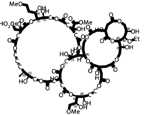 CCO[C@H]1[C@@H]2OC(=O)C(O)(CC(=O)OCC[C@H]3OC(=O)C(O)(CC(=O)OCC[C@@H](O)[C@@H]([C@@H](O)COC)OC(=O)CC4(O)CC(=O)OC[C@@H](O)[C@@H](C)CCCOC(=O)CC(O)(CC(=O)O)C(=O)O[C@@H]([C@H](O)CCOC)[C@@H](O)COC(=O)CC(O)(C(=O)OC)CC(=O)O[C@@H]3[C@@H](O)COC4=O)CC(=O)OC[C@@H]2O)CC(=O)OC[C@H]1O